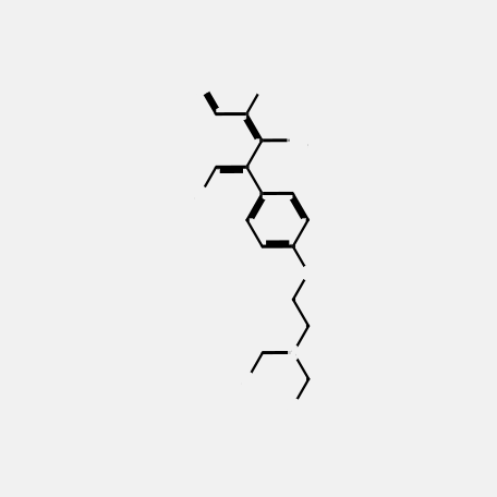 C=C/C(C)=C(C)\C(=C\C)c1ccc(OCCN(CC)CC)cc1